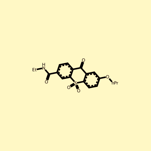 CCCOc1ccc2c(c1)C(=O)c1ccc(C(=O)NCC)cc1S2(=O)=O